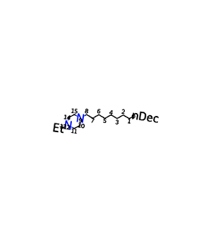 CCCCCCCCCCCCCCCCCCN1CCN(CC)CC1